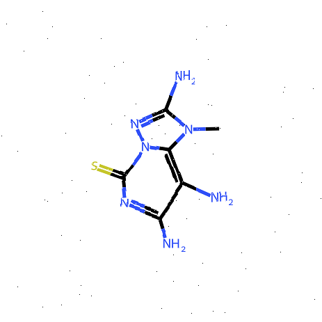 Cn1c(N)nn2c(=S)nc(N)c(N)c12